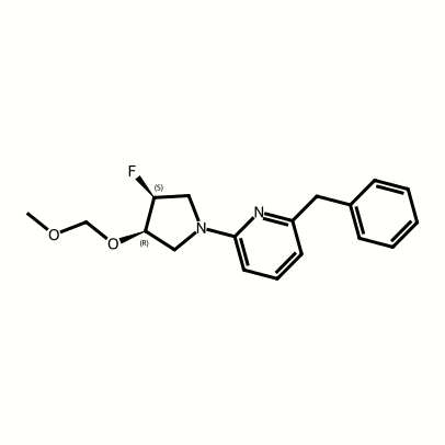 COCO[C@@H]1CN(c2cccc(Cc3ccccc3)n2)C[C@@H]1F